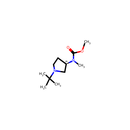 COC(=O)N(C)[C@@H]1CCN(C(C)(C)C)C1